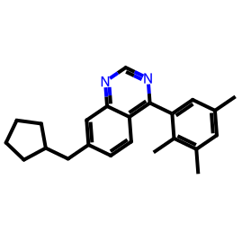 Cc1cc(C)c(C)c(-c2ncnc3cc(CC4CCCC4)ccc23)c1